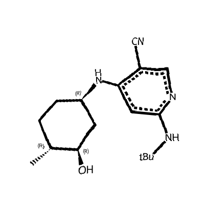 C[C@@H]1CC[C@@H](Nc2cc(NC(C)(C)C)ncc2C#N)C[C@H]1O